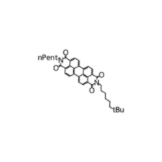 CCCCCN1C(=O)c2ccc3c4ccc5c6c(ccc(c7ccc(c2c37)C1=O)c64)C(=O)N(CCCCCCC(C)(C)C)C5=O